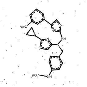 COc1cccc(-c2csc(N[C@@H](Cc3ccc(NS(=O)(=O)O)cc3)c3csc(C4CC4)n3)n2)c1